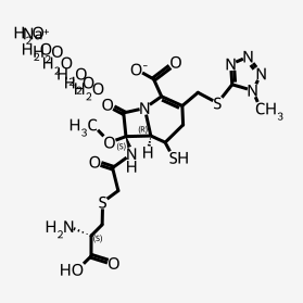 CO[C@]1(NC(=O)CSC[C@@H](N)C(=O)O)C(=O)N2C(C(=O)[O-])=C(CSc3nnnn3C)CC(S)[C@H]21.O.O.O.O.O.O.O.[Na+]